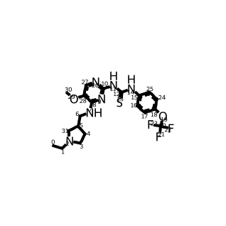 CCN1CCC(CNc2nc(NC(=S)Nc3ccc(OC(F)(F)F)cc3)ncc2OC)C1